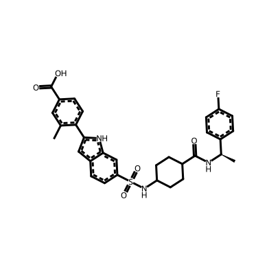 Cc1cc(C(=O)O)ccc1-c1cc2ccc(S(=O)(=O)NC3CCC(C(=O)N[C@H](C)c4ccc(F)cc4)CC3)cc2[nH]1